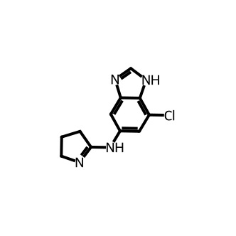 Clc1cc(NC2=NCCC2)cc2nc[nH]c12